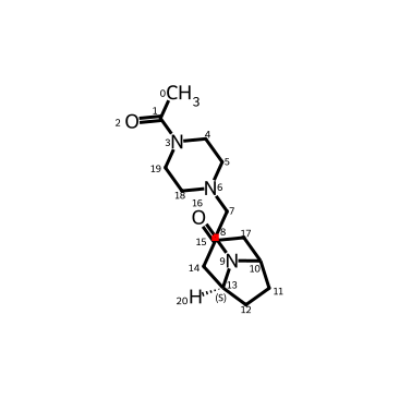 CC(=O)N1CCN(CCN2C3CC[C@H]2CC(=O)C3)CC1